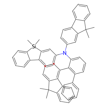 CC1(C)c2ccccc2-c2ccc(N(c3ccc4c(c3)[Si](C)(C)c3ccccc3-4)c3cccc(-c4ccccc4)c3-c3cccc4c3-c3ccccc3C4(C)C)cc21